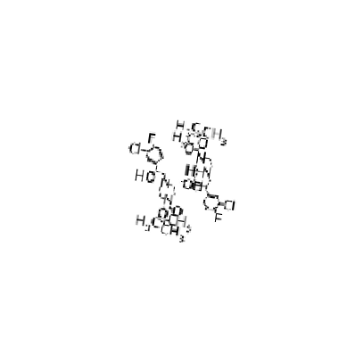 CC(C)(C)OC(=O)N1CCN(CC(O)c2ccc(F)c(Cl)c2)[C@H](CO)C1.CC(C)(C)OC(=O)N1CCN2C[C@@H](c3ccc(F)c(Cl)c3)OC[C@@H]2C1